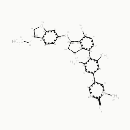 Cc1cc(-c2cnc(=O)n(C)c2)cc(C)c1-c1ccc(F)c2c1CC[C@H]2Oc1ccc2c(c1)OC[C@H]2CC(=O)O